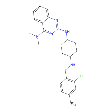 CN(C)c1nc(NC2CCC(NCc3ccc([N+](=O)[O-])cc3Cl)CC2)nc2ccccc12